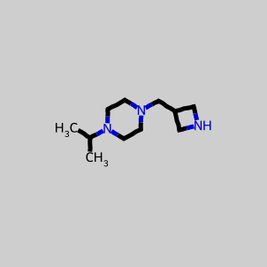 CC(C)N1CCN(CC2CNC2)CC1